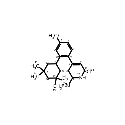 CCCCC1CC(c2ccc(C)cc2C2CC(C)(C)CC(C)(C)C2)=CCN1.Cl